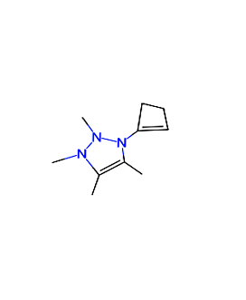 CC1=C(C)N(C2=CCC2)N(C)N1C